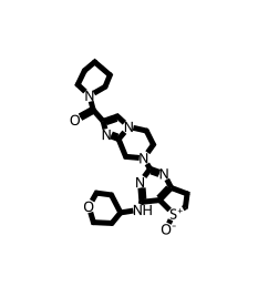 O=C(c1cn2c(n1)CN(c1nc3c(c(NC4CCOCC4)n1)[S+]([O-])CC3)CC2)N1CCCCC1